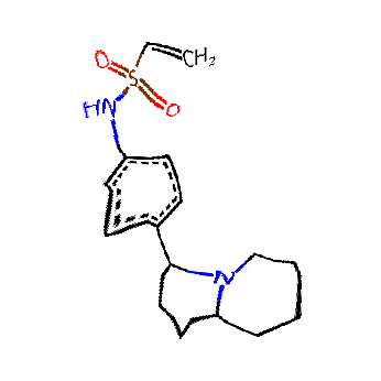 C=CS(=O)(=O)Nc1ccc(C2CCC3CCCCN32)cc1